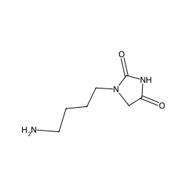 NCCCCN1CC(=O)NC1=O